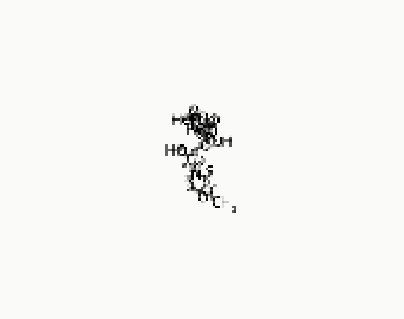 Cc1cc2c(=S)n([C@H]3CC(O)[C@@H](COP(=O)(O)OP(=O)(O)OP(=O)(O)O)O3)ccc2o1